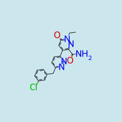 CCn1nc(C(N)=O)c(-c2ccc(Cc3cccc(Cl)c3)nn2)cc1=O